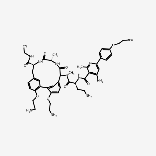 Cc1nc(-c2ccc(OCCC(C)(C)C)cc2)cc(N)c1C(=O)N[C@@H](CCN)C(=O)N(C)[C@@H]1C(=O)N[C@@H](C)C(=O)N[C@H](C(=O)NCC#N)Cc2ccc(OCCN)c(c2)-c2cc1ccc2OCCN